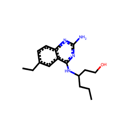 CCCC(CCO)Nc1nc(N)nc2ccc(CC)cc12